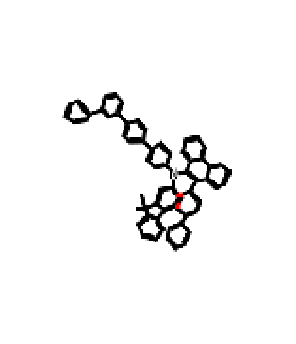 CC1(C)c2ccccc2-c2ccc(N(c3ccc(-c4ccc(-c5cccc(-c6ccccc6)c5)cc4)cc3)c3c(-c4ccc(-c5ccccc5)cc4)c4ccccc4c4ccccc34)cc21